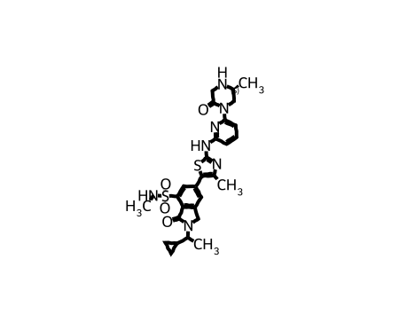 CNS(=O)(=O)c1cc(-c2sc(Nc3cccc(N4C[C@H](C)NCC4=O)n3)nc2C)cc2c1C(=O)N(C(C)C1CC1)C2